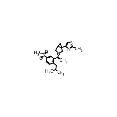 C=C(c1cc(S(C)(=O)=O)ccc1CC(C)C(F)(F)F)N1CC2CC2(c2csc(C)n2)C1